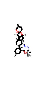 CC1CC[C@@]2(OC1)O[C@H]1C[C@H]3[C@H](CN)[C@@H]([C@@]4(C)CC[C@H](C)C[C@@H]4CO[Si](C)(C)C(C)(C)C)CC[C@]3(C)[C@H]1[C@@H]2C